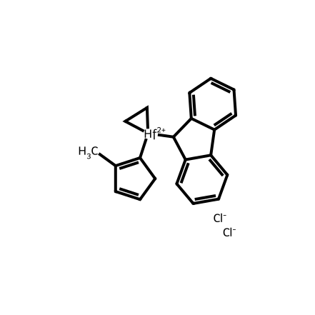 CC1=[C]([Hf+2]2([CH]3c4ccccc4-c4ccccc43)[CH2][CH2]2)CC=C1.[Cl-].[Cl-]